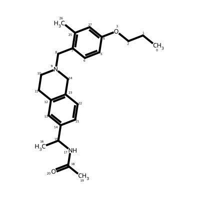 CCCOc1ccc(CN2CCc3cc(C(C)NC(C)=O)ccc3C2)c(C)c1